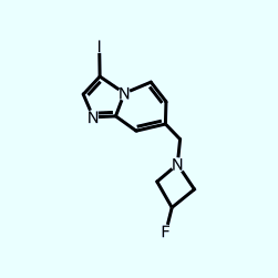 FC1CN(Cc2ccn3c(I)cnc3c2)C1